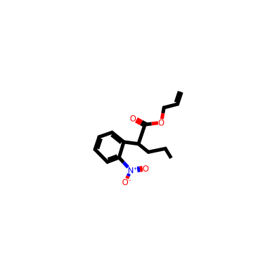 C=CCOC(=O)C(CCC)c1ccccc1[N+](=O)[O-]